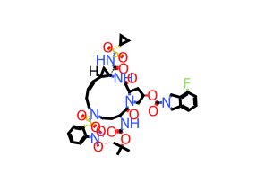 CC(C)(C)OC(=O)N[C@H]1CCN(S(=O)(=O)c2ccccc2[N+](=O)[O-])CC/C=C\[C@@H]2C[C@@]2(C(=O)NS(=O)(=O)C2CC2)NC(=O)C2C[C@@H](OC(=O)N3Cc4cccc(F)c4C3)CN2C1=O